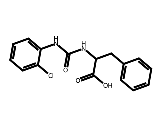 O=C(Nc1ccccc1Cl)NC(Cc1ccccc1)C(=O)O